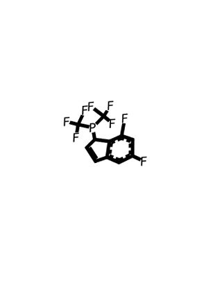 Fc1cc(F)c2c(c1)C=CC2P(C(F)(F)F)C(F)(F)F